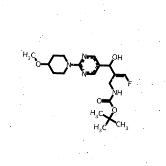 COC1CCN(c2ncc(C(O)/C(=C/F)CNC(=O)OC(C)(C)C)cn2)CC1